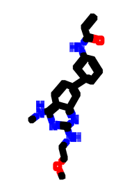 C=CC(=O)Nc1cccc(-c2ccc3c(NC)nc(NCCOC)nc3c2)c1